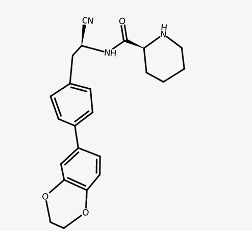 N#C[C@H](Cc1ccc(-c2ccc3c(c2)OCCO3)cc1)NC(=O)[C@@H]1CCCCN1